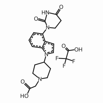 O=C(O)C(F)(F)F.O=C(O)CN1CCC(n2ccc3c(N4CCC(=O)NC4=O)cccc32)CC1